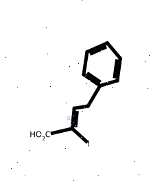 O=C(O)/C(I)=C/Cc1ccccc1